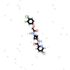 O=C(COc1ccc(Cl)c(F)c1)NC12CC(NC(=O)c3ccc(Cl)cn3)(C1)C2